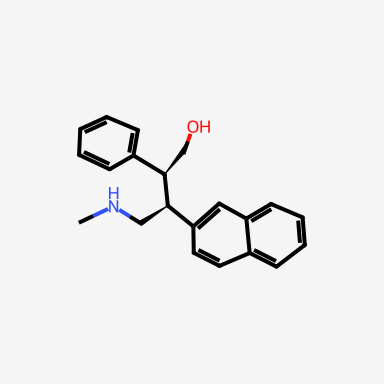 CNC[C@H](c1ccc2ccccc2c1)[C@H](CO)c1ccccc1